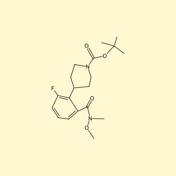 CON(C)C(=O)c1cccc(F)c1C1CCN(C(=O)OC(C)(C)C)CC1